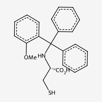 COc1ccccc1C(N[C@@H](CS)C(=O)O)(c1ccccc1)c1ccccc1